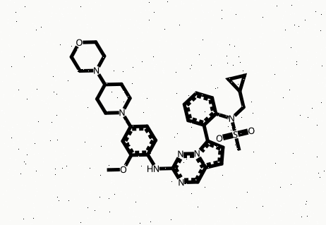 COc1cc(N2CCC(N3CCOCC3)CC2)ccc1Nc1ncc2ccc(-c3ccccc3N(CC3CC3)S(C)(=O)=O)n2n1